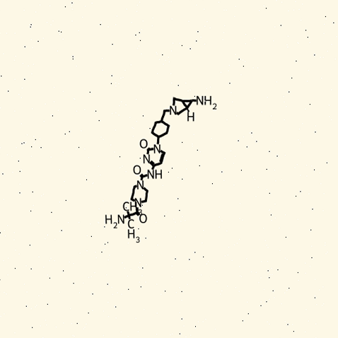 CC(C)(N)C(=O)N1CCN(C(=O)Nc2ccn(C3CCC(CN4CC5C(N)[C@@H]5C4)CC3)c(=O)n2)CC1